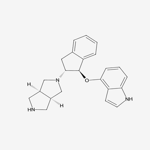 c1ccc2c(c1)C[C@@H](N1C[C@H]3CNC[C@H]3C1)[C@@H]2Oc1cccc2[nH]ccc12